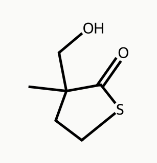 CC1(CO)CCSC1=O